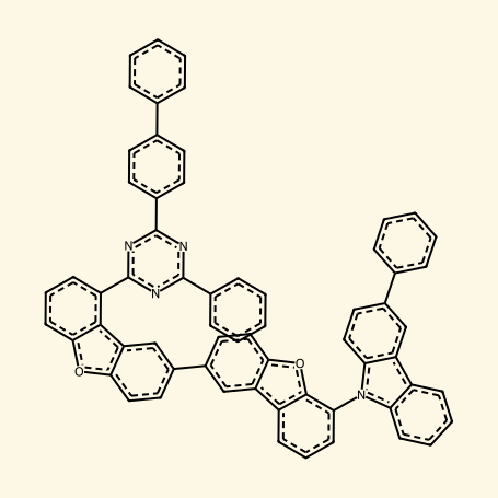 c1ccc(-c2ccc(-c3nc(-c4ccccc4)nc(-c4cccc5oc6ccc(-c7ccc8oc9c(-n%10c%11ccccc%11c%11cc(-c%12ccccc%12)ccc%11%10)cccc9c8c7)cc6c45)n3)cc2)cc1